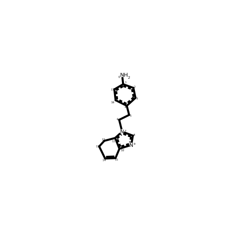 Nc1ccc(CCn2cnc3c2CCC=C3)cc1